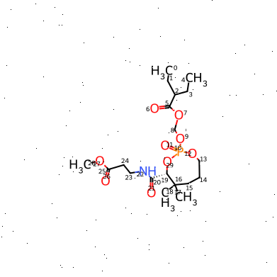 CCC(CC)C(=O)OCOP1(=O)OCCCC(C)(C)[C@H](C(=O)NCCC(=O)OC)O1